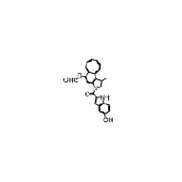 CC1CN(C(=O)c2cc3cc(O)ccc3[nH]2)c2cc(OC=O)c3/c(c21)=C\C=C/C=C\C=3